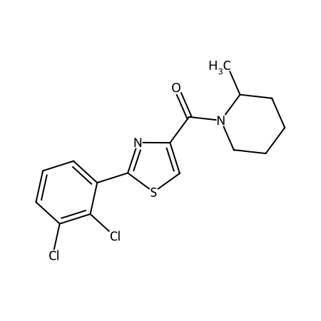 CC1CCCCN1C(=O)c1csc(-c2cccc(Cl)c2Cl)n1